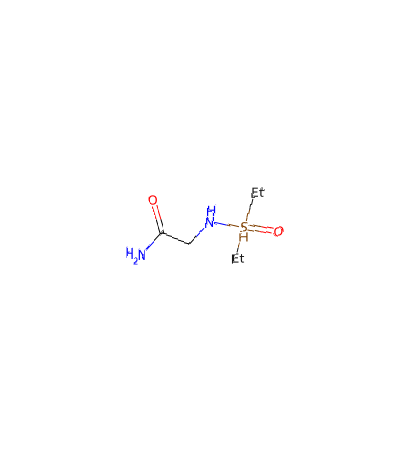 CC[SH](=O)(CC)NCC(N)=O